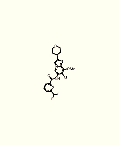 COc1c(Cl)c(NC(=O)c2cccc(C(F)F)n2)cn2cc(C3CCOCC3)nc12